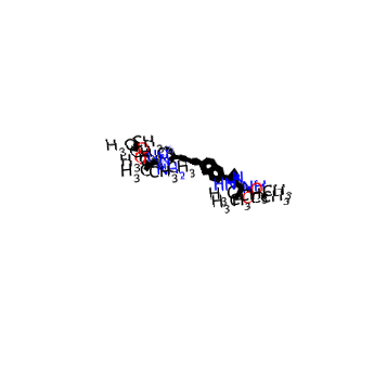 C/C=C\C(C#CC#Cc1ccc2cc(-c3cnc([C@@H](NC(=O)OC(C)(C)C)C(C)(C)C)[nH]3)ccc2c1)C(C)/N=C(\N)[C@@H](NC(=O)OC(C)(C)C)C(C)(C)C